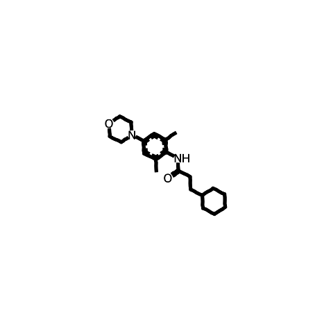 Cc1cc(N2CCOCC2)cc(C)c1NC(=O)CCC1CCCCC1